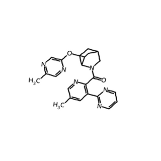 Cc1cnc(C(=O)N2CC3CCC2C(Oc2cnc(C)cn2)C3)c(-c2ncccn2)c1